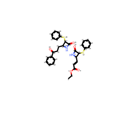 CCOC(=O)/C=C/C1NC(=O)C1Sc1ccccc1.O=C(CCC1NC(=O)C1Sc1ccccc1)c1ccccc1